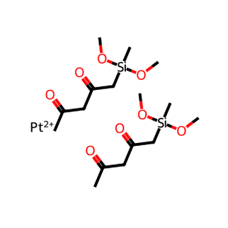 CO[Si](C)(CC(=O)CC(C)=O)OC.CO[Si](C)(CC(=O)CC(C)=O)OC.[Pt+2]